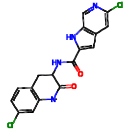 O=C(NC1Cc2ccc(Cl)cc2[N]C1=O)c1cc2cc(Cl)ncc2[nH]1